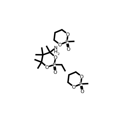 CCP1(=O)OC(C)(C)C(C)(C)C(C)(N)O1.CP1(=O)OCCCO1.CP1(=O)OCCCO1